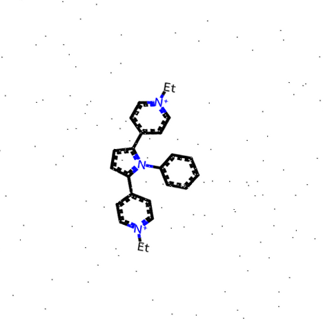 CC[n+]1ccc(-c2ccc(-c3cc[n+](CC)cc3)n2-c2ccccc2)cc1